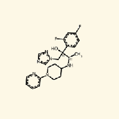 C[C@@H](NC1CCN(c2ccccn2)CC1)[C@](O)(Cn1cncn1)c1ccc(F)cc1F